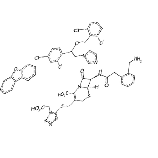 Clc1ccc(C(Cn2ccnc2)OCc2c(Cl)cccc2Cl)c(Cl)c1.NCc1ccccc1CC(=O)N[C@@H]1C(=O)N2C(C(=O)O)=C(CSc3nnnn3CC(=O)O)CS[C@H]12.c1ccc2c(c1)oc1ccccc12